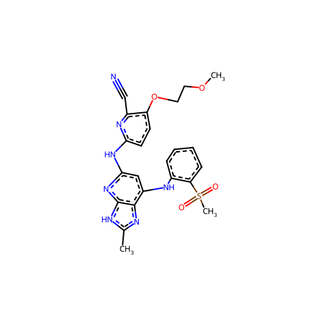 COCCOc1ccc(Nc2cc(Nc3ccccc3S(C)(=O)=O)c3nc(C)[nH]c3n2)nc1C#N